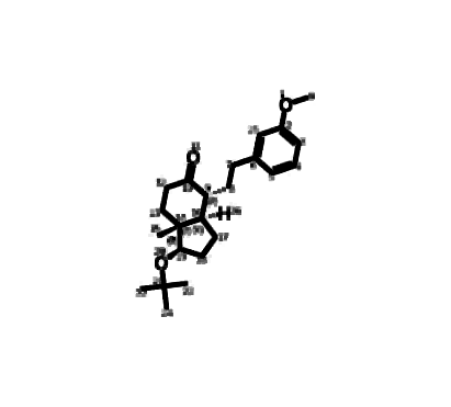 COc1cccc(CC[C@H]2C(=O)CC[C@]3(C)[C@@H]2CC[C@H]3OC(C)(C)C)c1